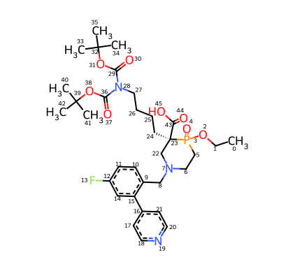 CCOP1(=O)CCN(Cc2ccc(F)cc2-c2ccncc2)C[C@@]1(CCCCN(C(=O)OC(C)(C)C)C(=O)OC(C)(C)C)C(=O)O